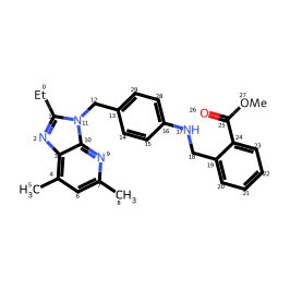 CCc1nc2c(C)cc(C)nc2n1Cc1ccc(NCc2ccccc2C(=O)OC)cc1